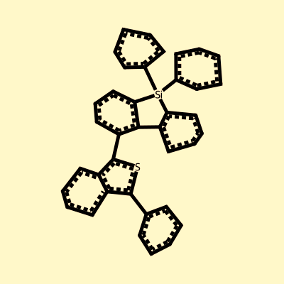 c1ccc(-c2sc(-c3cccc4c3-c3ccccc3[Si]4(c3ccccc3)c3ccccc3)c3ccccc23)cc1